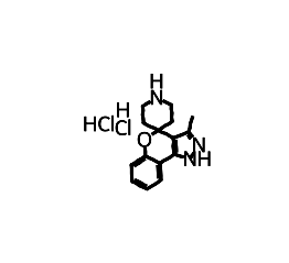 Cc1n[nH]c2c1C1(CCNCC1)Oc1ccccc1-2.Cl.Cl